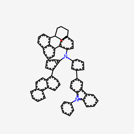 c1ccc(-n2c3ccccc3c3cc(-c4cccc(N(c5ccccc5-c5cccc6cccc(C7CCCCC7)c56)c5c6ccc(-c7cccc8c7ccc7ccccc78)c5-6)c4)ccc32)cc1